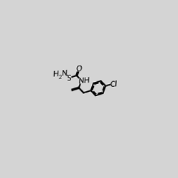 C=C(Cc1ccc(Cl)cc1)NC(=O)SN